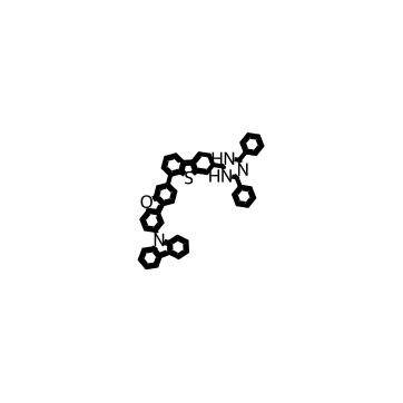 C1=c2sc3c(-c4ccc5c(c4)oc4ccc(-n6c7ccccc7c7ccccc76)cc45)cccc3c2=CCC1C1NC(c2ccccc2)=NC(c2ccccc2)N1